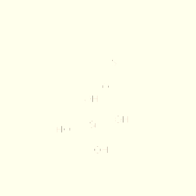 C[S+](C)[O-].O[Si](O)(O)O